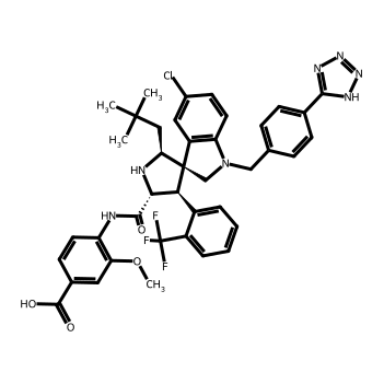 COc1cc(C(=O)O)ccc1NC(=O)[C@@H]1N[C@@H](CC(C)(C)C)[C@@]2(CN(Cc3ccc(-c4nnn[nH]4)cc3)c3ccc(Cl)cc32)[C@H]1c1ccccc1C(F)(F)F